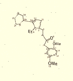 CCC1C(CCC(=O)Cc2cc(OC)ccc2OC)=CC=C1C1CCCCC1